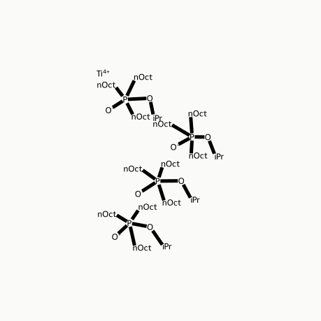 CCCCCCCCP([O-])(CCCCCCCC)(CCCCCCCC)OC(C)C.CCCCCCCCP([O-])(CCCCCCCC)(CCCCCCCC)OC(C)C.CCCCCCCCP([O-])(CCCCCCCC)(CCCCCCCC)OC(C)C.CCCCCCCCP([O-])(CCCCCCCC)(CCCCCCCC)OC(C)C.[Ti+4]